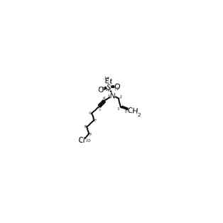 C=CCN(C#CCCCCCl)S(=O)(=O)CC